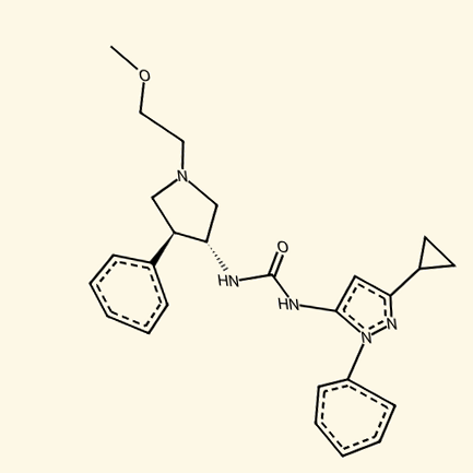 COCCN1C[C@H](NC(=O)Nc2cc(C3CC3)nn2-c2ccccc2)[C@@H](c2ccccc2)C1